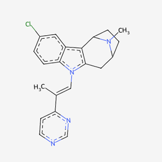 C/C(=C\n1c2c(c3cc(Cl)ccc31)C1CCC(C2)N1C)c1ccncn1